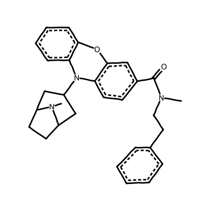 CN(CCc1ccccc1)C(=O)c1ccc2c(c1)Oc1ccccc1N2C1CC2CCC(C1)N2C